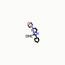 O=Cc1c(-c2ccccc2)nc2ccc(N3CCOCC3)nn12